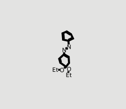 CCOC1(OCC)C=CC(N=Nc2ccccc2)=CC1